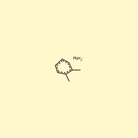 Cc1ccccc1C.[PbH2]